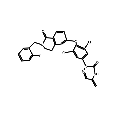 C=C1C=NN(c2cc(Cl)c(Oc3ccc4c(c3)CCN(Cc3ccccc3F)C4=O)c(Cl)c2)C(=O)N1